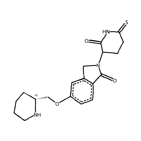 O=C1NC(=S)CCC1N1Cc2cc(OC[C@H]3CCCCN3)ccc2C1=O